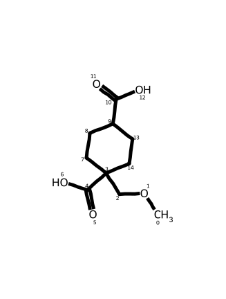 COCC1(C(=O)O)CCC(C(=O)O)CC1